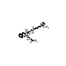 CP1CCON1CCCCCC(=O)NCNCC(=O)NC(Cc1ccccc1)N(F)CNCOCC(N)=O